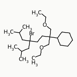 CCOCC(CCC(Br)(CC(C)C)CC(C)C)(COCC)C1CCCCC1